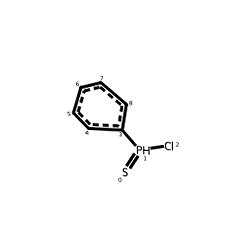 S=[PH](Cl)c1ccccc1